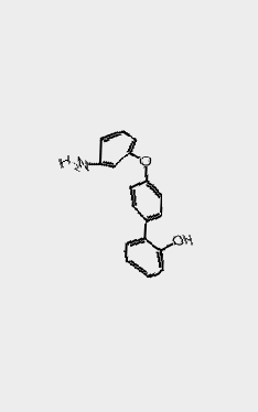 Nc1cccc(Oc2ccc(-c3ccccc3O)cc2)c1